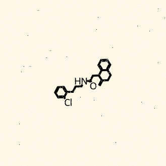 C=C1CCc2ccccc2C1CC(=O)NCCCc1ccccc1Cl